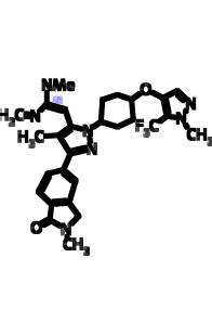 C=N/C(=C\c1c(C)c(-c2ccc3c(c2)CN(C)C3=O)nn1C1CCC(Oc2cnn(C)c2C(F)(F)F)CC1)NC